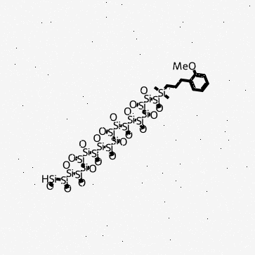 COc1ccccc1CCC[Si](C)(C)[Si](=O)[Si](=O)[Si](=O)[Si](=O)[Si](=O)[Si](=O)[Si](=O)[Si](=O)[Si](=O)[Si](=O)[Si](=O)[Si](=O)[Si](=O)[Si](=O)[Si](=O)[Si](=O)[Si](=O)[Si](=O)[Si](=O)[SiH]=O